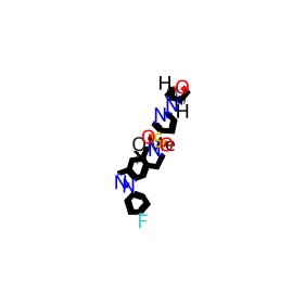 COC[C@]12Cc3cnn(-c4ccc(F)cc4)c3C=C1CCN(S(=O)(=O)c1ccc(N3C[C@@H]4C[C@H]3CO4)nc1)C2